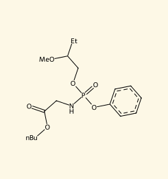 CCCCOC(=O)CNP(=O)(OCC(CC)OC)Oc1ccccc1